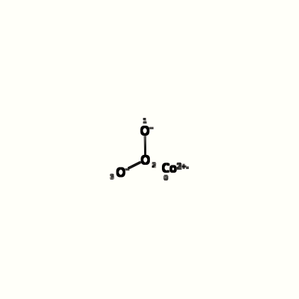 [Co+2].[O-]O[O-]